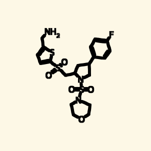 NCc1ccc(S(=O)(=O)CC2CC(c3ccc(F)cc3)CN2S(=O)(=O)N2CCOCC2)s1